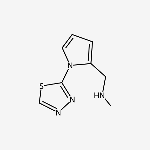 CNCc1cccn1-c1nncs1